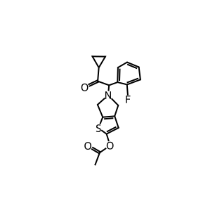 CC(=O)Oc1cc2c(s1)CN(C(C(=O)C1CC1)c1ccccc1F)C2